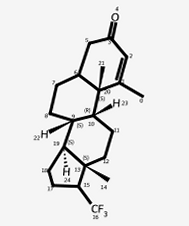 CC1=CC(=O)CC2CC[C@@H]3[C@@H](CC[C@]4(C)C(C(F)(F)F)CC[C@@H]34)[C@@]12C